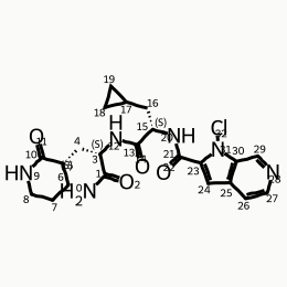 NC(=O)[C@H](C[C@@H]1CCCNC1=O)NC(=O)[C@H](CC1CC1)NC(=O)c1cc2ccncc2n1Cl